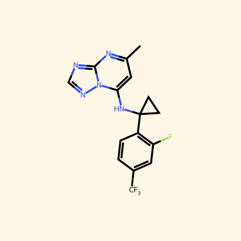 Cc1cc(NC2(c3ccc(C(F)(F)F)cc3F)CC2)n2ncnc2n1